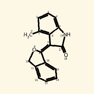 Cc1cccc2c1/C(=C1\OCc3ccccc31)C(=O)N2